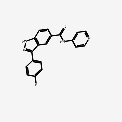 O=C(Nc1ccncc1)c1ccc2[nH]nc(-c3ccc(F)cc3)c2c1